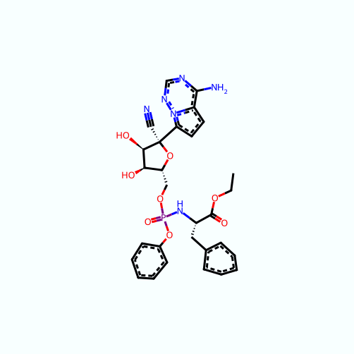 CCOC(=O)[C@H](Cc1ccccc1)NP(=O)(OC[C@H]1O[C@](C#N)(c2ccc3c(N)ncnn23)[C@H](O)[C@@H]1O)Oc1ccccc1